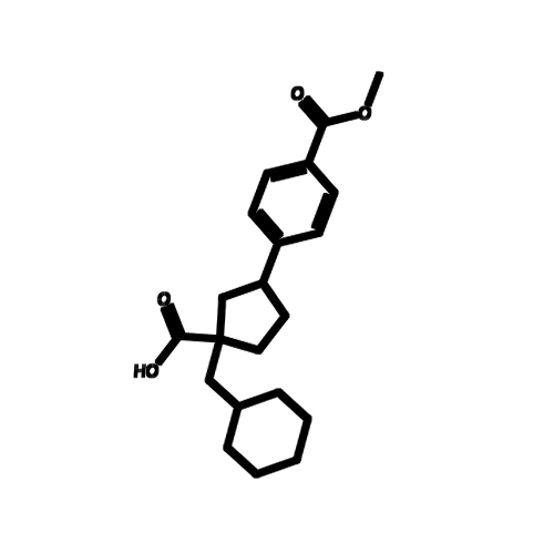 COC(=O)c1ccc(C2CCC(CC3CCCCC3)(C(=O)O)C2)cc1